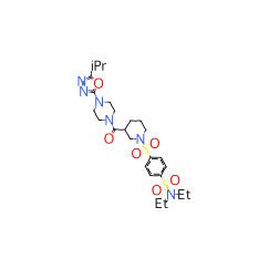 CCN(CC)S(=O)(=O)c1ccc(S(=O)(=O)N2CCCC(C(=O)N3CCN(c4nnc(C(C)C)o4)CC3)C2)cc1